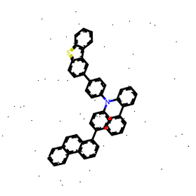 c1ccc(-c2ccccc2N(c2ccc(-c3ccc4sc5ccccc5c4c3)cc2)c2ccc(-c3cccc4c3ccc3ccccc34)cc2)cc1